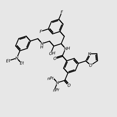 CCCN(CCC)C(=O)c1cc(C(=O)NC(Cc2cc(F)cc(F)c2)C(O)CNCc2cccc(N(CC)CC)c2)cc(-c2ncco2)c1